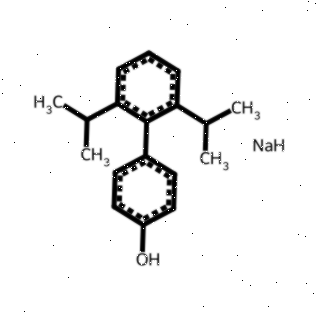 CC(C)c1cccc(C(C)C)c1-c1ccc(O)cc1.[NaH]